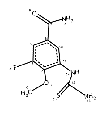 COc1c(F)cc(C(N)=O)cc1NC(N)=S